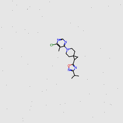 Cc1c(Cl)ncnc1N1CCC2(CC1)CC2c1nc(C(C)C)no1